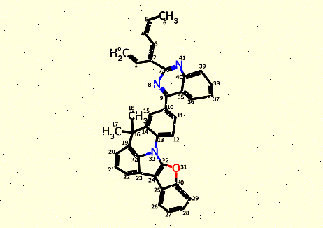 C=C/C(=C\C=C/C)c1nc(-c2ccc3c(c2)C(C)(C)c2cccc4c5c6ccccc6oc5n-3c24)c2ccccc2n1